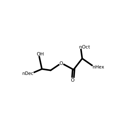 CCCCCCCCCCC(O)COC(=O)C(CCCCCC)CCCCCCCC